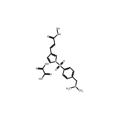 CN(C)Cc1ccc(S(=O)(=O)n2ccc(C=CC(=O)NO)c2)cc1.O=C(O)C(=O)O